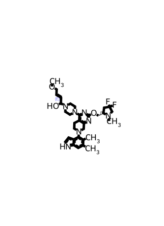 COC/C=C/C(O)N1CCN(c2nc(OC[C@@H]3CC(F)(F)CN3C)nc3c2CCN(c2c(C)c(C)cc4[nH]ccc24)C3)CC1